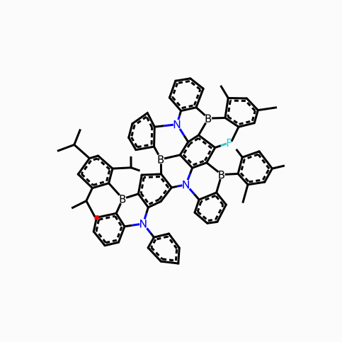 Cc1cc(C)c(B2c3ccccc3N3c4ccccc4B4c5cc6c(cc5N5c7ccccc7B(c7c(C)cc(C)cc7C)c7c(F)c2c3c4c75)N(c2ccccc2)c2ccccc2B6c2c(C(C)C)cc(C(C)C)cc2C(C)C)c(C)c1